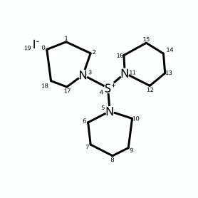 C1CCN([S+](N2CCCCC2)N2CCCCC2)CC1.[I-]